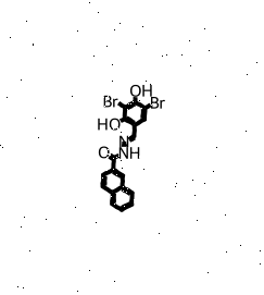 O=C(NN=Cc1cc(Br)c(O)c(Br)c1O)c1ccc2ccccc2c1